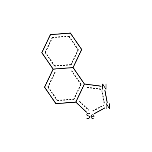 c1ccc2c(c1)ccc1[se]nnc12